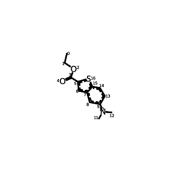 CCOC(=O)c1cc2cc(N(C)C)ccc2s1